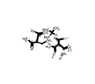 CC(C)(C)[O-].CCC(C(C)=O)C(=O)[O-].CCC(C(C)=O)C(=O)[O-].[Al+3]